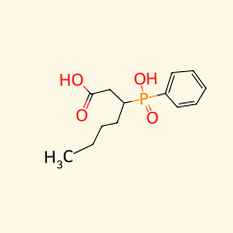 CCCCC(CC(=O)O)P(=O)(O)c1ccccc1